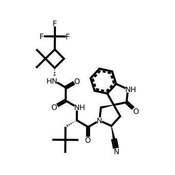 CC(C)(C)C[C@H](NC(=O)C(=O)N[C@H]1CC(C(F)(F)F)C1(C)C)C(=O)N1C[C@]2(C[C@H]1C#N)C(=O)Nc1ccccc12